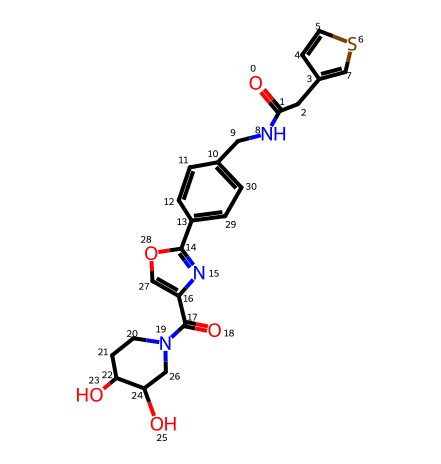 O=C(Cc1ccsc1)NCc1ccc(-c2nc(C(=O)N3CCC(O)C(O)C3)co2)cc1